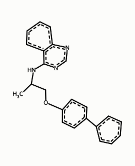 CC(COc1ccc(-c2ccccc2)cc1)Nc1ncnc2ccccc12